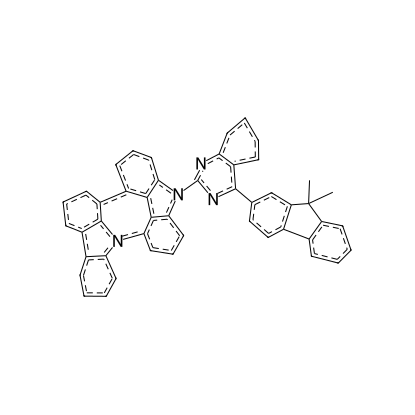 CC1(C)c2ccccc2-c2ccc(-c3nc(-n4c5cccc6c7cccc8c9ccccc9n(c9cccc4c9c65)c78)nc4ccccc34)cc21